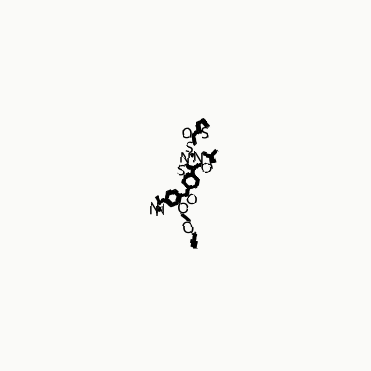 C#CCOCCOc1cc(C2(C)N=N2)ccc1C(=O)C1CCc2c(sc3nc(SCC(=O)c4cccs4)n(CC(=C)C)c(=O)c23)C1